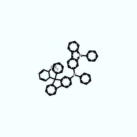 CC1C=CC=CC1C1(c2ccccc2)c2ccccc2-c2ccc(N(c3ccccc3)c3ccc4c5ccccc5n(-c5ccccc5)c4c3)cc21